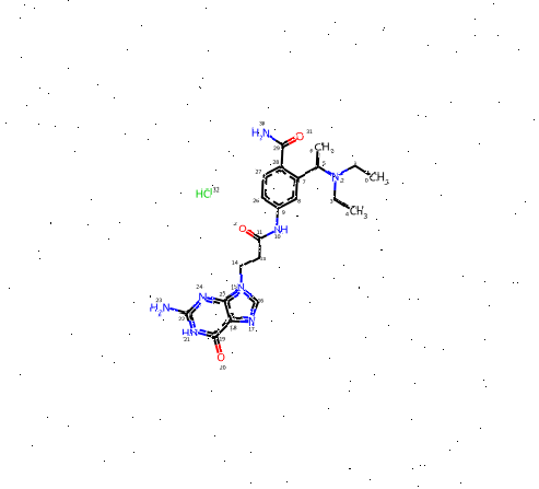 CCN(CC)C(C)c1cc(NC(=O)CCn2cnc3c(=O)[nH]c(N)nc32)ccc1C(N)=O.Cl